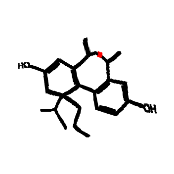 CCCC1(C(C)C)CC(O)=CC(C(C)C)=C1c1ccc(O)cc1C(C)C